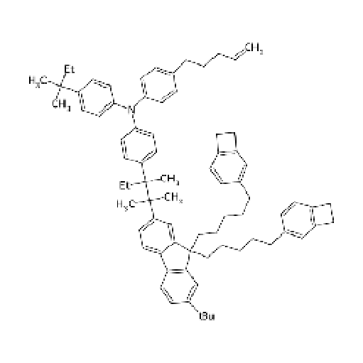 C=CCCCc1ccc(N(c2ccc(C(C)(C)CC)cc2)c2ccc(C(C)(CC)C(C)(C)c3ccc4c(c3)C(CCCCCc3ccc5c(c3)CC5)(CCCCCc3ccc5c(c3)CC5)c3cc(C(C)(C)C)ccc3-4)cc2)cc1